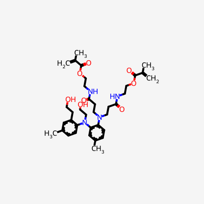 C=C(C)C(=O)OCCNC(=O)CCN(CCC(=O)NCCOC(=O)C(=C)C)c1ccc(C)cc1N(CCO)c1ccc(C)cc1CCO